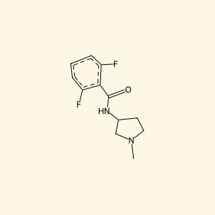 CN1CCC(NC(=O)c2c(F)cccc2F)C1